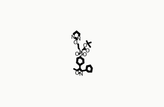 Cc1onc(-c2ccccc2)c1-c1ccc(S(=O)(=O)N(CCOc2ncccn2)C(=O)OC(C)(C)C)cc1